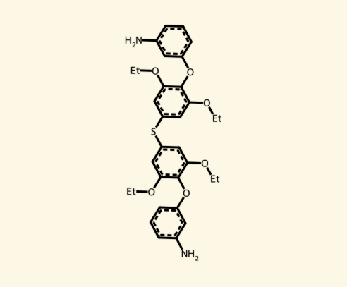 CCOc1cc(Sc2cc(OCC)c(Oc3cccc(N)c3)c(OCC)c2)cc(OCC)c1Oc1cccc(N)c1